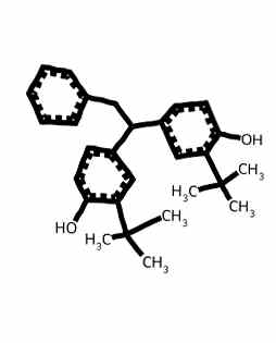 CC(C)(C)c1cc(C(Cc2ccccc2)c2ccc(O)c(C(C)(C)C)c2)ccc1O